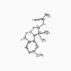 Cc1ccc2c(c1)N1C(CO2)CN(CC(N)=O)C1(C)C